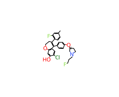 Cc1ccc(C2=C(c3ccc(O[C@H]4CCN(CCCF)C4)cc3)c3cc(Cl)c(O)cc3OCC2)c(F)c1